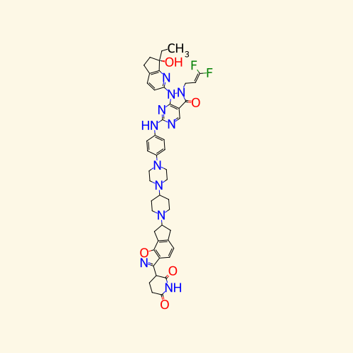 CC[C@@]1(O)CCc2ccc(-n3c4nc(Nc5ccc(N6CCN(C7CCN(C8Cc9ccc%10c(C%11CCC(=O)NC%11=O)noc%10c9C8)CC7)CC6)cc5)ncc4c(=O)n3CC=C(F)F)nc21